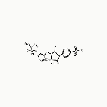 CN(C)S(=O)(=O)Nc1cc(CN2C(=O)N(c3ccc(S(=O)(=O)C(F)(F)F)cc3)C(=O)C2(C)C)ccn1